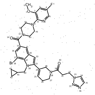 COc1cc(F)cnc1N1CCN(C(=O)c2cc(Br)c3c(c2)cc(C2=CCCN(C(=O)CCn4ccnn4)C2)n3CC2CC2)CC1